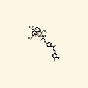 C[C@H]1[C@@H](NC(=O)COc2ccc(C(=O)/C=C/c3ccc(F)c(F)c3)cc2)O[C@@H]2O[C@@]3(C)CC[C@H]4[C@H](C)CC[C@@H]1[C@@]24OO3